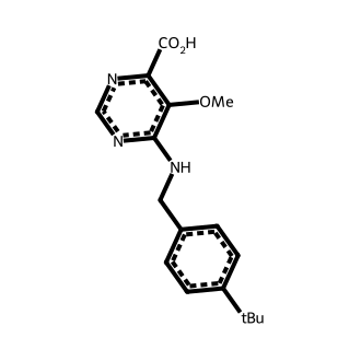 COc1c(NCc2ccc(C(C)(C)C)cc2)ncnc1C(=O)O